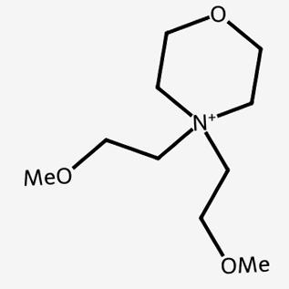 COCC[N+]1(CCOC)CCOCC1